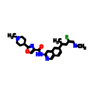 C=N/C=C(F)\C=C(/C)c1ccc2cnc(NC(=O)c3coc(C4CCN(C)CC4)n3)cc2c1